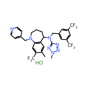 Cc1cc2c(cc1C(F)(F)F)N(Cc1ccncc1)CCCC2N(Cc1cc(C(F)(F)F)cc(C(F)(F)F)c1)c1nnn(C)n1.Cl